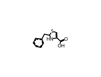 O=C(O)C1=CSC(Cc2ccccc2)N1